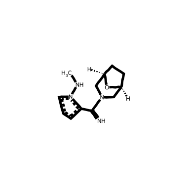 CNn1cccc1C(=N)N1C[C@H]2CC[C@@H](C1)O2